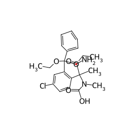 CCOC(OCC)(c1ccccc1)c1cc(Cl)ccc1C(C)(C(N)=O)N(C)C(=O)O